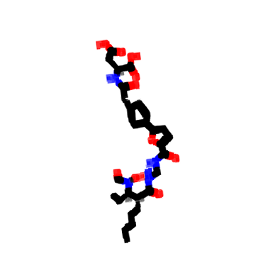 CCCCC[C@@H](C(=O)NCNC(=O)c1ccc(-c2ccc(CC(=O)N[C@@H](CC(=O)O)C(=O)O)cc2)o1)[C@@H](CC)N(O)C=O